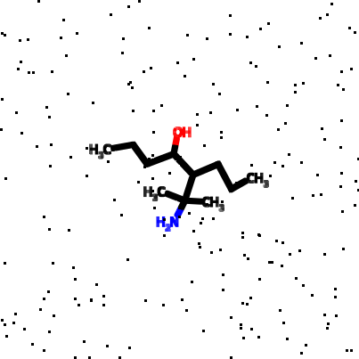 CCCC(O)C(CCC)C(C)(C)N